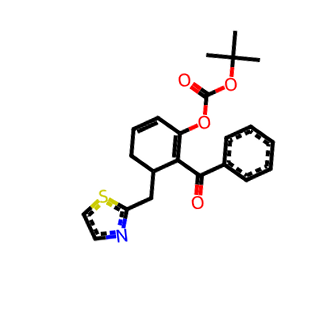 CC(C)(C)OC(=O)OC1=C(C(=O)c2ccccc2)C(Cc2nccs2)CC=C1